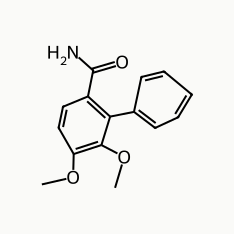 COc1ccc(C(N)=O)c(-c2ccccc2)c1OC